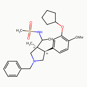 COc1ccc([C@H]2CN(Cc3ccccc3)C[C@@]2(C)C(C)NS(C)(=O)=O)cc1OC1CCCC1